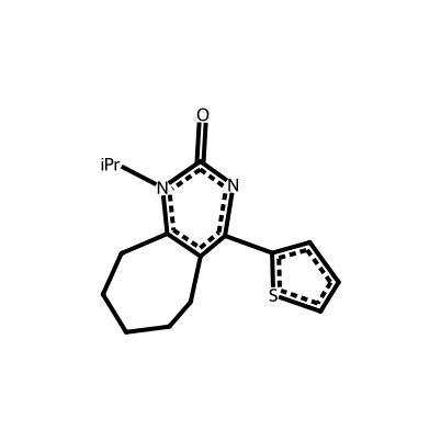 CC(C)n1c2c(c(-c3cccs3)nc1=O)CCCCC2